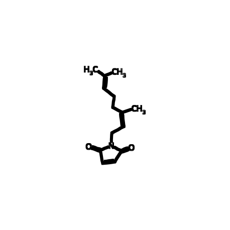 CC(C)=CCC/C(C)=C\CN1C(=O)C=CC1=O